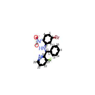 O=[N+]([O-])c1ccc(Br)cc1NC(c1ccccc1)c1ncccc1F